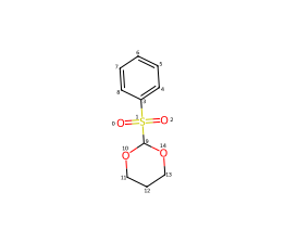 O=S(=O)(c1ccccc1)C1OCCCO1